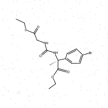 CCOC(=O)CNC(=O)N[C@](C)(C(=O)OCC)c1ccc(Br)cc1